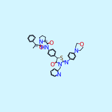 C[C@H](C(=O)N1CCC[C@H]1C(=O)Nc1ccc(C2S/C(=N\c3ccc(N4CCOCC4)cc3)N(Cc3ccccn3)C2=O)cc1)c1ccccc1